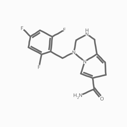 NC(=O)C1=CN2C(=CC1)CNCN2Cc1c(F)cc(F)cc1F